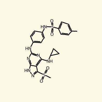 Cc1ccc(S(=O)(=O)Nc2ccc(Nc3nc(NC4CC4)c4c(S(C)(=O)=O)n[nH]c4n3)cc2)cc1